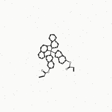 C=CC(=O)Oc1ccc2cc(C3(c4ccc5cc(OC(=O)C=C)ccc5c4)c4ccc5ccccc5c4-c4ccc5ccccc5c43)ccc2c1